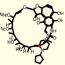 COC1/C=C/O[C@@]2(C)OC3C#CC(O)=c4c(O)c(c(/C=N/N5CCN(C6CCCC6)CC5)c(O)c4=C3C2=O)NC(=O)/C(C)=C\C=C\[C@H](C)[C@H](O)[C@@H](C)C(O)[C@@H](C)C(OC(C)=O)[C@@H]1C